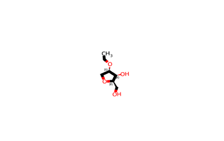 CCO[C@H]1CO[C@H](CO)[C@H]1O